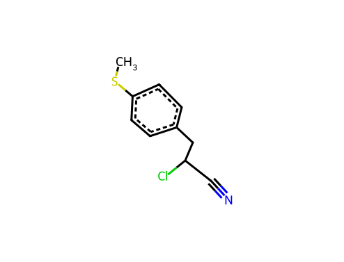 CSc1ccc(CC(Cl)C#N)cc1